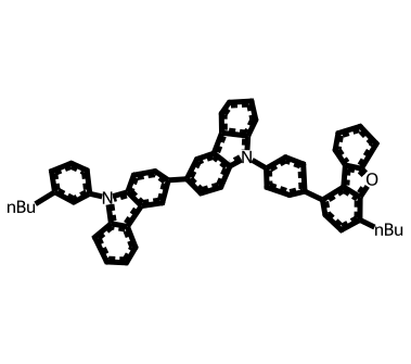 CCCCc1cccc(-n2c3ccccc3c3cc(-c4ccc5c(c4)c4ccccc4n5-c4ccc(-c5ccc(CCCC)c6oc7ccccc7c56)cc4)ccc32)c1